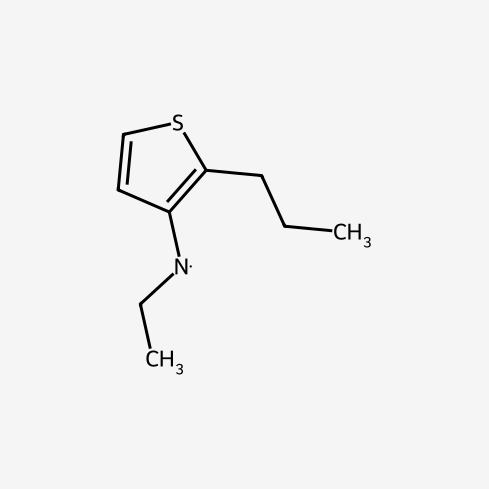 CCCc1sccc1[N]CC